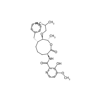 COc1ccnc(C(=O)N[C@H]2CCC[C@H](Cc3ccccc3)[C@@H](OCC(C)C)[C@H](C)OC2=O)c1O